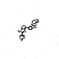 CCn1c(-c2cnc(C)nc2)nc2c(-c3ccc4c(c3)C(C)(N3CCn5nccc5C3)C(=O)N4)ncnc21